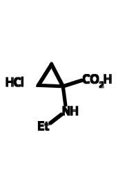 CCNC1(C(=O)O)CC1.Cl